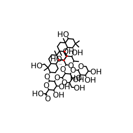 CC1OC(OC2C(OC3C(OC4CC[C@@]5(C)C(CCC6(C)C5CC=C5C7CC(C)(C)CC(O)C7(C)CCC56C)C4(C)CO)OC(C(=O)O)C(O)C3O)OC(CO)C(O)C2OC2OCC(O)C(O)C2O)C(O)C(O)C1O